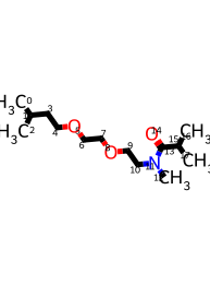 CC(C)CCOCCOCCN(C)C(=O)C(C)C